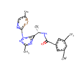 Cc1nc([C@H](C)NC(=O)c2cc(C#N)cc(C(F)(F)F)c2)n(-c2ncc(C#N)s2)n1